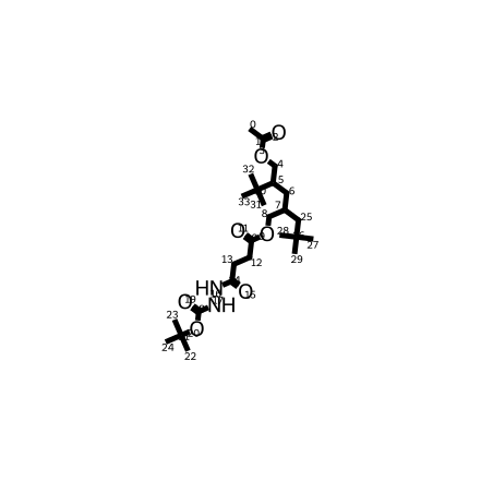 CC(=O)OCC(CC(COC(=O)CCC(=O)NNC(=O)OC(C)(C)C)CC(C)(C)C)C(C)(C)C